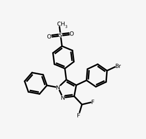 CS(=O)(=O)c1ccc(-c2c(-c3ccc(Br)cc3)c(C(F)F)nn2-c2ccccc2)cc1